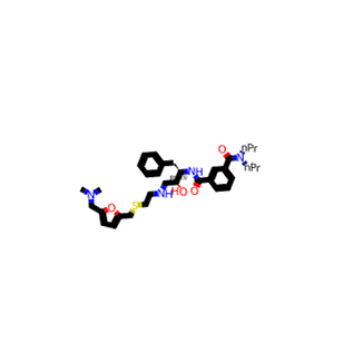 CCCN(CCC)C(=O)c1cccc(C(=O)N[C@@H](Cc2ccccc2)[C@H](O)CNCCSCc2ccc(CN(C)C)o2)c1